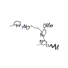 COc1cc(C)nc(-c2ccc(OC)c(CCCO/N=C(\C)c3cccc(C)n3)n2)c1